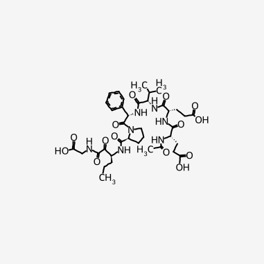 CCC[C@H](NC(=O)[C@@H]1CCCN1C(=O)[C@@H](NC(=O)[C@@H](NC(=O)[C@H](CCC(=O)O)NC(=O)[C@H](CCC(=O)O)NC(C)=O)C(C)C)c1ccccc1)C(=O)C(=O)NCC(=O)O